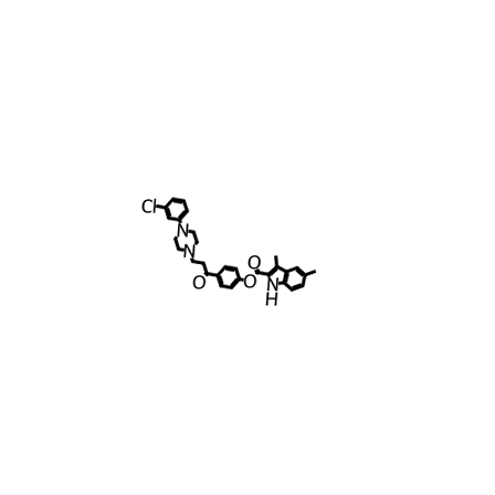 Cc1ccc2[nH]c(C(=O)Oc3ccc(C(=O)CCN4CCN(c5cccc(Cl)c5)CC4)cc3)c(C)c2c1